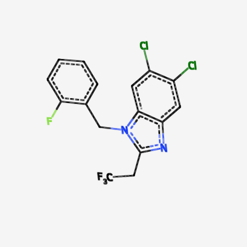 Fc1ccccc1Cn1c(CC(F)(F)F)nc2cc(Cl)c(Cl)cc21